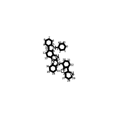 c1ccc(-n2c3ccccc3c3ccc4c(nc5n(-c6cccc7c6oc6cccnc67)c6ccccc6n45)c32)cc1